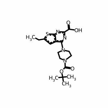 CCc1cc2c(N3CCN(C(=O)OC(C)(C)C)CC3)nc(C(=O)O)nc2s1